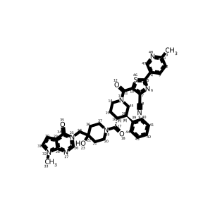 Cc1ccc(-c2nc(C#N)c(C(=O)N3CC[C@@H](C(=O)N4CCC(O)(Cn5cnc6c(ccn6C)c5=O)CC4)[C@H](c4ccccc4)C3)s2)cn1